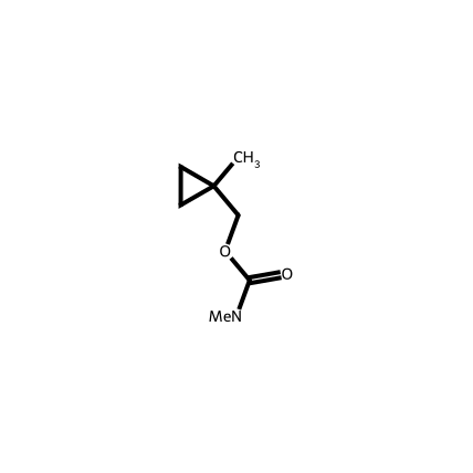 CNC(=O)OCC1(C)CC1